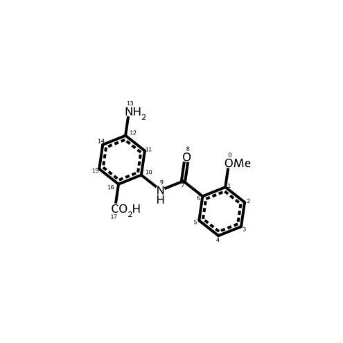 COc1ccccc1C(=O)Nc1cc(N)ccc1C(=O)O